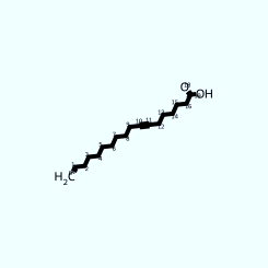 C=CCCCCCCCCC#CCCCCCC(=O)O